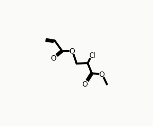 C=CC(=O)OCC(Cl)C(=O)OC